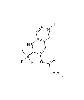 CCC(=O)OC1=Cc2cc(I)ccc2NC1C(F)(F)F